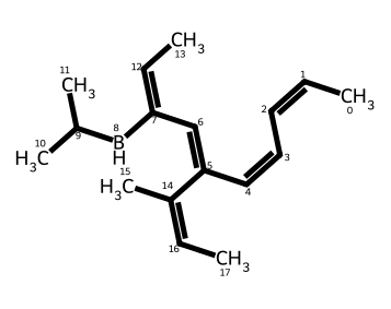 C/C=C\C=C/C(=C/C(BC(C)C)=C\C)C(/C)=C\C